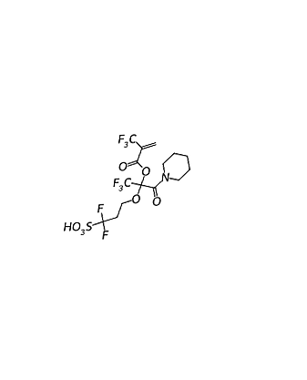 C=C(C(=O)OC(OCCC(F)(F)S(=O)(=O)O)(C(=O)N1CCCCC1)C(F)(F)F)C(F)(F)F